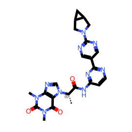 C[C@@H](C(=O)Nc1ccnc(-c2cnc(N3CC4CC4C3)nc2)n1)n1cnc2c1c(=O)n(C)c(=O)n2C